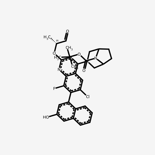 C[C@H](C=O)Oc1nc(N2CC3CCC(C2)N3C(=O)OC(C)(C)C)c2cc(Cl)c(-c3cc(O)cc4ccccc34)c(F)c2n1